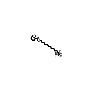 FC(F)(F)C(F)(F)CCCCCCCCCCCOCC1CCCCO1